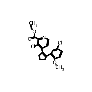 CCOC(=O)c1nccc(C2=C(c3cc(Cl)ccc3OC)CCC2)c1Cl